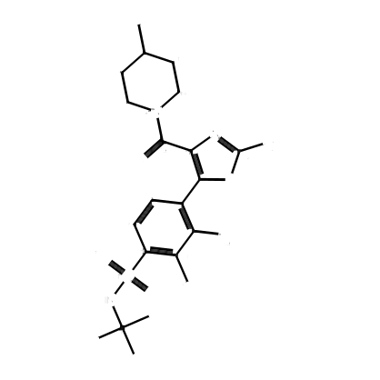 CCC(C)(C)NS(=O)(=O)c1ccc(-c2sc(C(=O)O)nc2C(=O)N2CCC(C)CC2)c(Cl)c1C